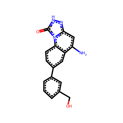 Nc1cc2n[nH]c(=O)n2c2ccc(-c3cccc(CO)c3)cc12